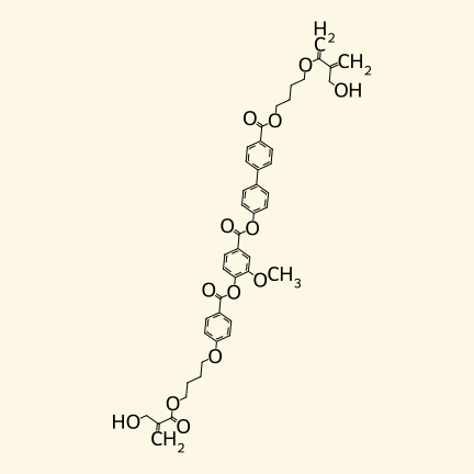 C=C(CO)C(=C)OCCCCOC(=O)c1ccc(-c2ccc(OC(=O)c3ccc(OC(=O)c4ccc(OCCCCOC(=O)C(=C)CO)cc4)c(OC)c3)cc2)cc1